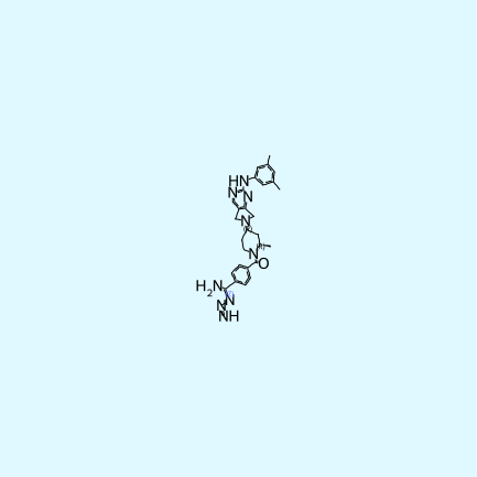 Cc1cc(C)cc(Nc2ncc3c(n2)CN([C@@H]2CCN(C(=O)c4ccc(/C(N)=N/N=N)cc4)[C@H](C)C2)C3)c1